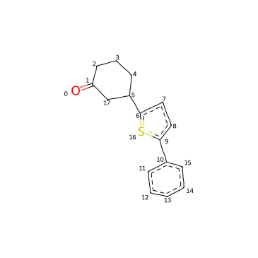 O=C1CCCC(c2ccc(-c3ccccc3)s2)C1